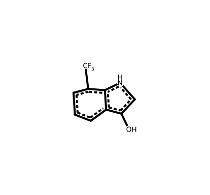 Oc1c[nH]c2c(C(F)(F)F)cccc12